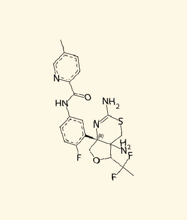 Cc1ccc(C(=O)Nc2ccc(F)c([C@]34COC(C(C)(F)F)C3(N)CSC(N)=N4)c2)nc1